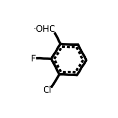 O=[C]c1cccc(Cl)c1F